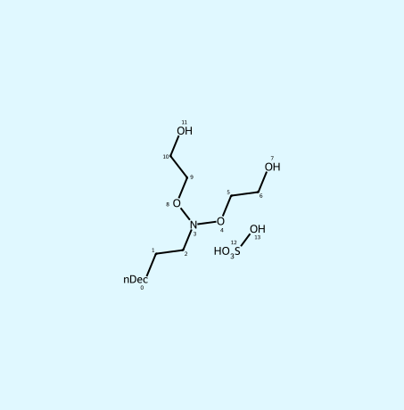 CCCCCCCCCCCCN(OCCO)OCCO.O=S(=O)(O)O